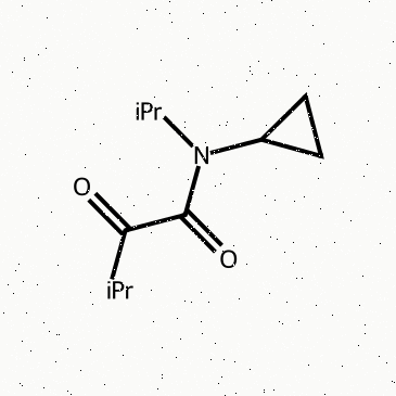 CC(C)C(=O)C(=O)N(C(C)C)C1CC1